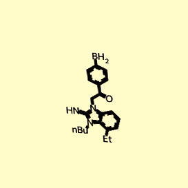 Bc1ccc(C(=O)Cn2c(=N)n(CCCC)c3c(CC)cccc32)cc1